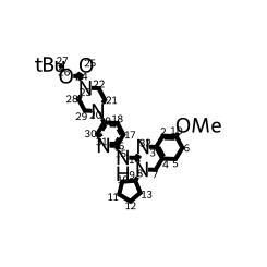 COC1=CC2=C(CC1)CN(C1CCCC1)C(Nc1ccc(N3CCN(C(=O)OC(C)(C)C)CC3)cn1)=N2